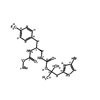 CC(C)(C)OC(=O)N[C@H](CNC(=O)OC(C)(C)Cc1nc(Br)cs1)Cc1ccc(C(F)(F)F)cc1